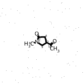 CC(=O)C1CC(=O)N(C)C1